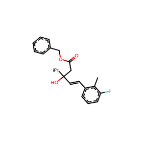 Cc1c(F)cccc1C=CC(O)(CC(=O)OCc1ccccc1)C(C)C